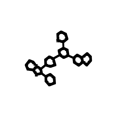 c1ccc(-c2nc3ccccn3c2-c2ccc(-c3cc(-c4ccc5ccccc5c4)cc(-c4ccccn4)c3)cc2)cc1